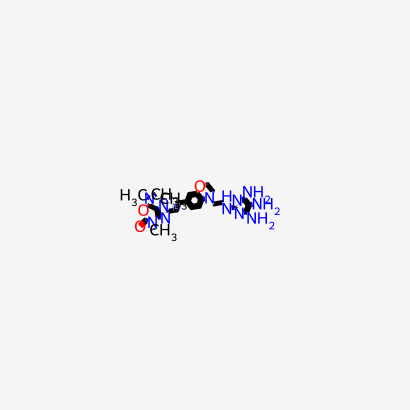 CN(C)C(=O)c1c(N(C)C=O)nc(/C=C/c2ccc3c(c2)OCCN3CCNc2nc(N)c(N)c(N)n2)n1C